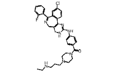 CCNCCCN1CCN(C(=O)c2ccc(NC3=NC4=C(CN=C(c5ccccc5F)c5cc(Cl)ccc54)CN3)cc2)CC1